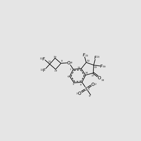 CS(=O)(=O)c1ccc(OC2CC(F)(F)C2)c2c1C(=O)C(F)(F)C2F